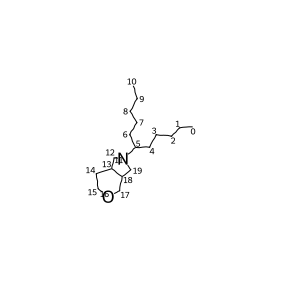 CCCCCC(CCCCC)N1CC2CCOCC2C1